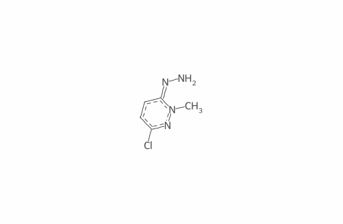 Cn1nc(Cl)cc/c1=N/N